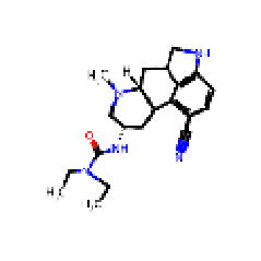 CCN(CC)C(=O)N[C@H]1CC2c3c(C#N)ccc4c3C(CN4)C[C@H]2N(C)C1